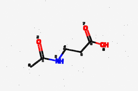 CC(=O)N[CH]CC(=O)O